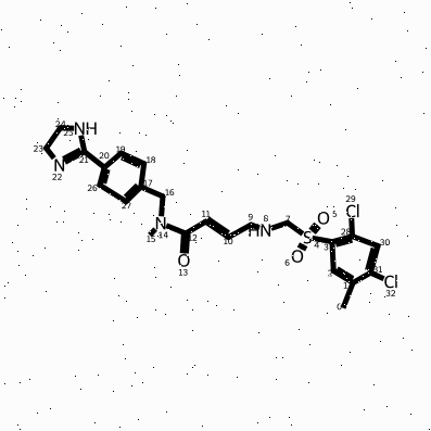 Cc1cc(S(=O)(=O)CNC/C=C/C(=O)N(C)Cc2ccc(C3=NCCN3)cc2)c(Cl)cc1Cl